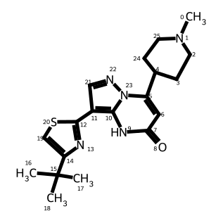 CN1CCC(c2cc(=O)[nH]c3c(-c4nc(C(C)(C)C)cs4)cnn23)CC1